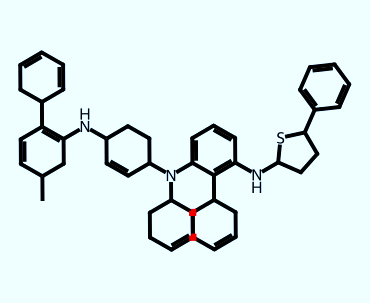 CC1C=CC(C2C=CC=CC2)=C(NC2C=CC(N(c3cccc(NC4CCC(c5ccccc5)S4)c3C3CC=CCC3)C3CC=CCC3)CC2)C1